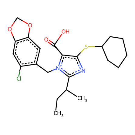 CCC(C)c1nc(SC2CCCCC2)c(C(=O)O)n1Cc1cc2c(cc1Cl)OCO2